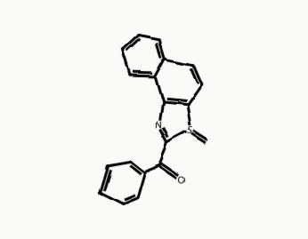 C=S1C(C(=O)c2ccccc2)=Nc2c1ccc1ccccc21